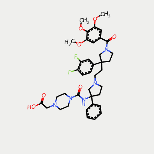 COc1cc(C(=O)N2CCC(CCN3CCC(NC(=O)N4CCN(CC(=O)O)CC4)(c4ccccc4)C3)(c3ccc(F)c(F)c3)C2)cc(OC)c1OC